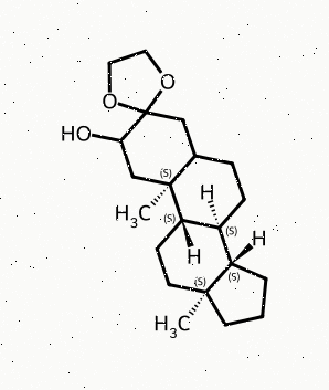 C[C@@]12CCC[C@H]1[C@@H]1CCC3CC4(OCCO4)C(O)C[C@]3(C)[C@H]1CC2